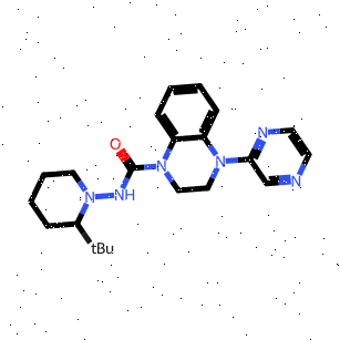 CC(C)(C)C1CCCCN1NC(=O)N1CCN(c2cnccn2)c2ccccc21